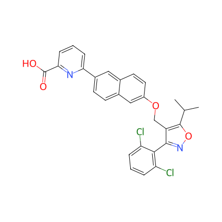 CC(C)c1onc(-c2c(Cl)cccc2Cl)c1COc1ccc2cc(-c3cccc(C(=O)O)n3)ccc2c1